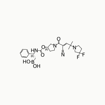 CC(C)(C=C(C#N)C(=O)N1CC[C@@H](OC(=O)N[C@H](CB(O)O)c2ccccc2)C1)N1CCC(F)(F)C1